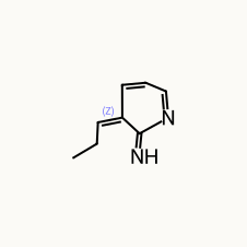 CC/C=C1/C=CC=NC1=N